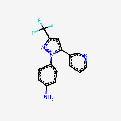 Nc1ccc(-n2nc(C(F)(F)F)cc2-c2cccnc2)cc1